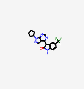 O=C1Nc2ccc(C(F)(F)F)cc2C1c1ncnc2c1cnn2C1CCCC1